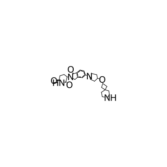 O=C1CCC(N2Cc3cc(N4CCC(OC5CC6(CCNCC6)C5)CC4)ccc3C2=O)C(=O)N1